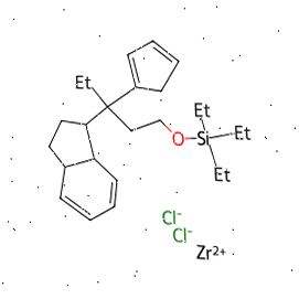 CCC(CCO[Si](CC)(CC)CC)(C1=CC=CC1)C1CCC2C=CC=CC21.[Cl-].[Cl-].[Zr+2]